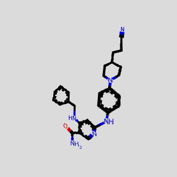 N#CCCC1CCN(c2ccc(Nc3cc(NCc4ccccc4)c(C(N)=O)cn3)cc2)CC1